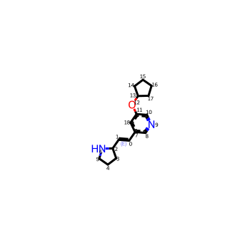 C(=C\C1CCCN1)/c1cncc(OC2CCCC2)c1